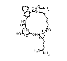 NC(=O)[C@@H]1CSSCCC(=O)N[C@@H](CCCCN=C(N)N)C(=O)NCC(=O)N[C@@H](CC(=O)O)C(=O)Nc2cc(c3ccccc3c2)C(=O)N1